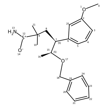 COc1cccc([C@H](CC(C)(C)[S+](N)[O-])[C@H](C)OCc2ccccc2)c1